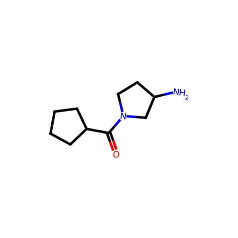 NC1CCN(C(=O)C2CCCC2)C1